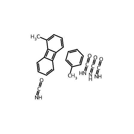 Cc1cccc2c1=c1ccccc1=2.Cc1ccccc1.N=C=O.N=C=O.N=C=O.N=C=O